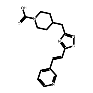 O=C(O)N1CCC(Cc2noc(C=Cc3cccnc3)n2)CC1